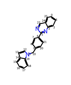 c1ccc2nc(-c3ccc(Cn4ccc5ccccc54)cc3)ncc2c1